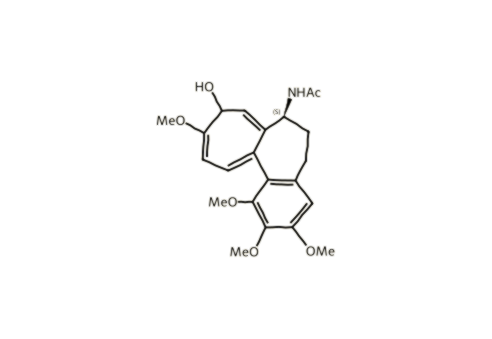 COC1=CC=C2C(=CC1O)[C@@H](NC(C)=O)CCc1cc(OC)c(OC)c(OC)c12